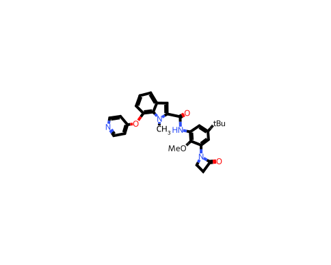 COc1c(NC(=O)c2cc3cccc(Oc4ccncc4)c3n2C)cc(C(C)(C)C)cc1N1CCC1=O